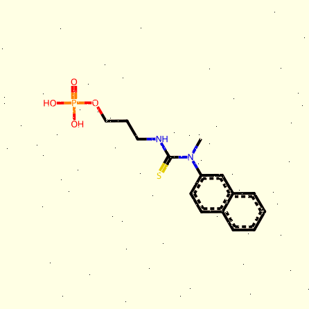 CN(C(=S)NCCCOP(=O)(O)O)c1ccc2ccccc2c1